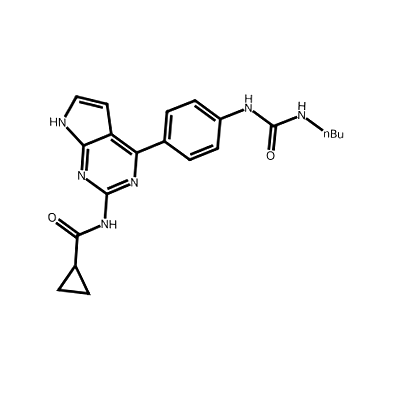 CCCCNC(=O)Nc1ccc(-c2nc(NC(=O)C3CC3)nc3[nH]ccc23)cc1